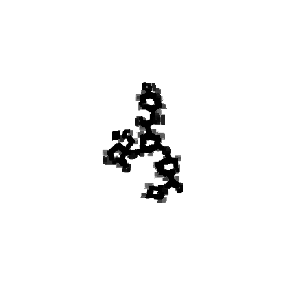 CC[C@]1(Oc2cc(Oc3ccc(C(=O)N4CCC4)nc3)cc(C(=O)Nc3cnc(C)cn3)c2)CCNC1=O